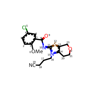 COc1ccc(Cl)cc1C(=O)/N=c1\sc2c(n1CCCC#N)CCOC2